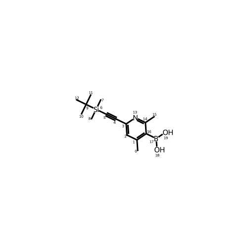 Cc1cc(C#C[Si](C)(C)C(C)(C)C)nc(C)c1B(O)O